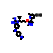 C/N=c1\[nH]c2cc(N(C)C3CCC(N(C)C)CC3)ccc2n1C(CCCOc1c(-c2cc(C=O)cc(C)n2)cnn1C)C1CC1